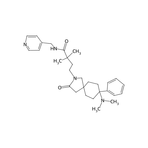 CN(C)C1(c2ccccc2)CCC2(CC1)CC(=O)N(CCC(C)(C)C(=O)NCc1ccncc1)C2